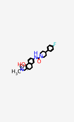 CN(C)CC1CCc2cc(NC(=O)N3CCC(c4ccc(F)cc4)CC3)ccc2C1O